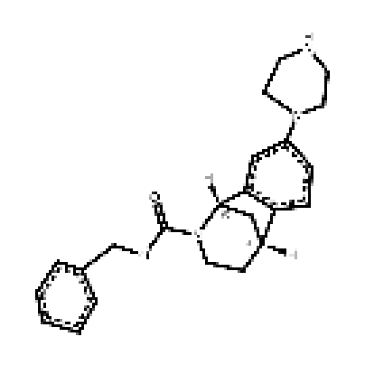 O=C(OCc1ccccc1)N1CC[C@@H]2C[C@H]1c1cc(N3CCNCC3)ccc12